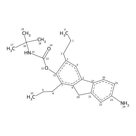 CCCc1cc2c(c(CCC)c1OC(=O)NC(C)(C)C)Cc1cc(N)ccc1-2